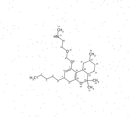 CCCCCC1C=C(OCOCCNC)C2=C(C1)OC(C)(C)C1CCC(C)CC21